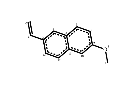 C=Cc1[c]c2ccc(OC)cc2cc1